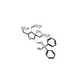 CC(C)(C)[Si](OC[C@@H]1OC(CC(=O)O)[C@H](CC(=O)O)[C@@]1(C)CC(=O)O)(c1ccccc1)c1ccccc1